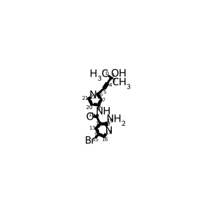 CC(C)(O)C#Cc1cc(NC(=O)c2cc(Br)cnc2N)ccn1